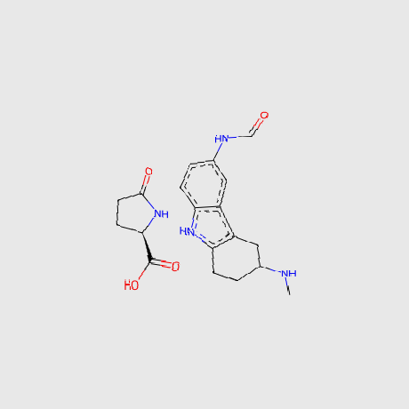 CNC1CCc2[nH]c3ccc(NC=O)cc3c2C1.O=C1CC[C@H](C(=O)O)N1